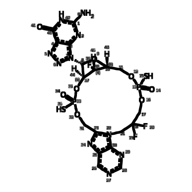 Nc1nc2c(nnn2[C@@H]2O[C@@H]3COP(=O)(S)OCC(F)(F)Cn4c(nc5cncnc54)COP(=O)(S)O[C@@H]2[C@@H]3F)c(=O)[nH]1